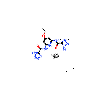 CCOc1cc(NC(=O)c2nnn[nH]2)nc(NC(=O)c2nnn[nH]2)c1.[NaH].[NaH]